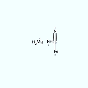 N.N#[C][Fe].[MgH2]